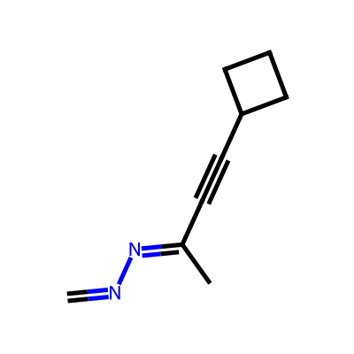 C=N/N=C(\C)C#CC1CCC1